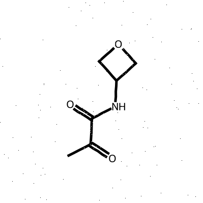 CC(=O)C(=O)NC1COC1